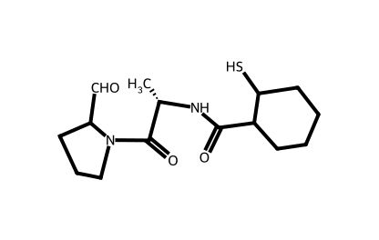 C[C@H](NC(=O)C1CCCCC1S)C(=O)N1CCCC1C=O